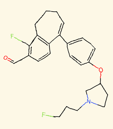 O=Cc1ccc2c(c1F)CCCC=C2c1ccc(OC2CCN(CCCF)C2)cc1